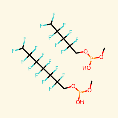 COP(O)OCC(F)(F)C(F)(F)C(F)(F)C(F)(F)C(F)(F)C(F)F.COP(O)OCC(F)(F)C(F)(F)C(F)(F)C(F)F